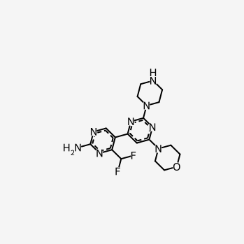 Nc1ncc(-c2cc(N3CCOCC3)nc(N3CCNCC3)n2)c(C(F)F)n1